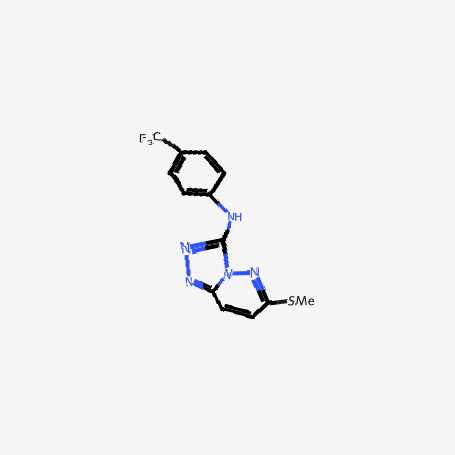 CSc1ccc2nnc(Nc3ccc(C(F)(F)F)cc3)n2n1